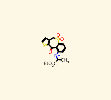 CCOC(=O)C(C)Nc1cccc2c1C(=O)c1sccc1CS2(=O)=O